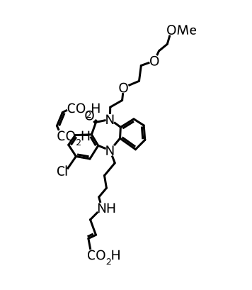 COCCOCCOCCN1C(=O)c2ccc(Cl)cc2N(CCCCNC/C=C/C(=O)O)c2ccccc21.O=C(O)/C=C\C(=O)O